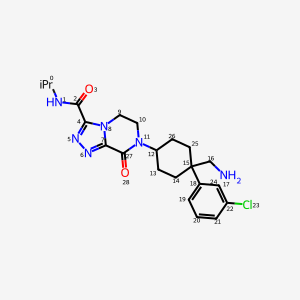 CC(C)NC(=O)c1nnc2n1CCN(C1CCC(CN)(c3cccc(Cl)c3)CC1)C2=O